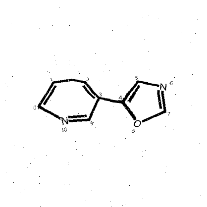 [c]1ccc(-c2cnco2)cn1